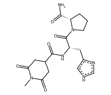 CN1C(=O)CC(C(=O)N[C@@H](Cc2c[nH]cn2)C(=O)N2CCC[C@H]2C(N)=O)CC1=O